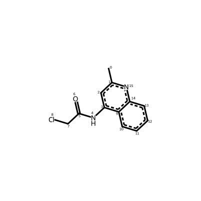 Cc1cc(NC(=O)CCl)c2ccccc2n1